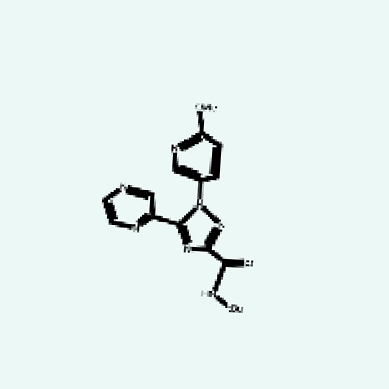 COc1ccc(-n2nc(C(=O)NC(C)(C)C)nc2-c2cnccn2)cn1